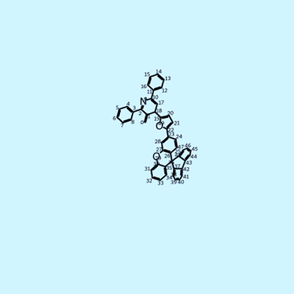 C=C1C(c2ccccc2)=NC(c2ccccc2)=CC1c1ccc(-c2ccc3c(c2)Oc2ccccc2C32c3ccccc3-c3ccccc32)o1